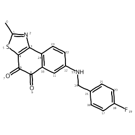 Cc1nc2c(s1)C(=O)C(=O)c1cc(NCc3ccc(F)cc3)ccc1-2